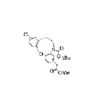 COC(=O)Cc1ccc2c(c1)N(C(=O)OC(C)(C)C)CCCCc1cc(Cl)ccc1CO2